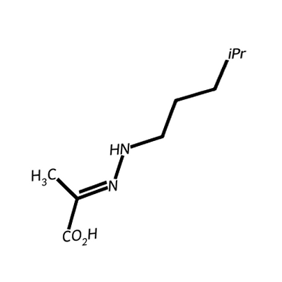 CC(=NNCCCC(C)C)C(=O)O